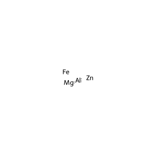 [Al].[Fe].[Mg].[Zn]